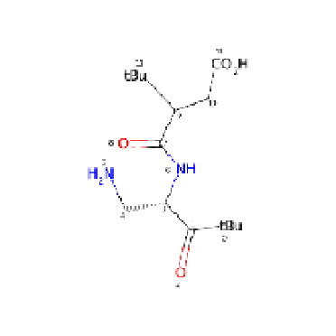 CC(C)(C)C(=O)[C@H](CN)NC(=O)C(CC(=O)O)C(C)(C)C